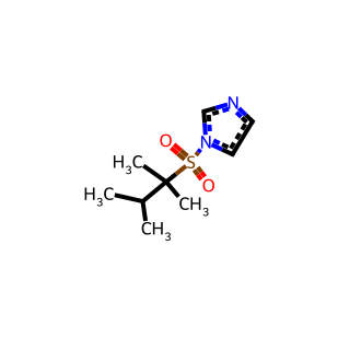 CC(C)C(C)(C)S(=O)(=O)n1ccnc1